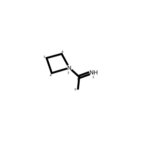 CC(=N)N1C[CH]C1